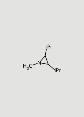 CC(C)C1C(C(C)C)N1C